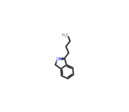 CCCCC1=NCc2ccccc21